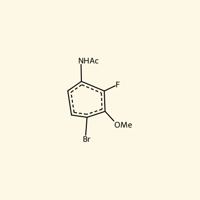 COc1c(Br)ccc(NC(C)=O)c1F